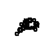 CNC(=O)c1cc(Oc2ccc3nnc(NC(=O)c4ccc(Cl)cc4C)nc3c2)ccn1